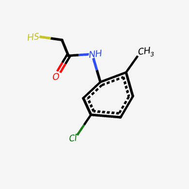 Cc1ccc(Cl)cc1NC(=O)CS